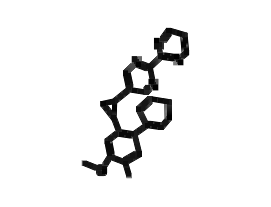 COc1cc(C2CC2c2cnc(-c3ncccn3)nc2)c(-c2ccccc2)cc1C